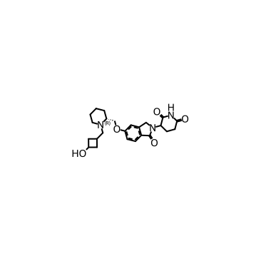 O=C1CCC(N2Cc3cc(OC[C@H]4CCCCN4CC4CC(O)C4)ccc3C2=O)C(=O)N1